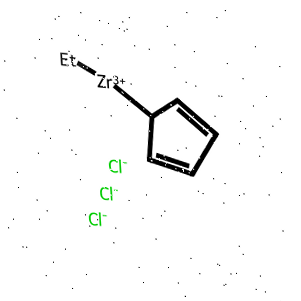 C[CH2][Zr+3][CH]1C=CC=C1.[Cl-].[Cl-].[Cl-]